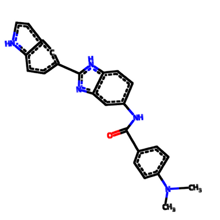 CN(C)c1ccc(C(=O)Nc2ccc3[nH]c(-c4ccc5[nH]ccc5c4)nc3c2)cc1